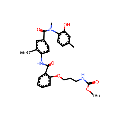 COc1cc(C(=O)N(C)c2ccc(C)cc2O)ccc1NC(=O)c1ccccc1OCCCNC(=O)OC(C)(C)C